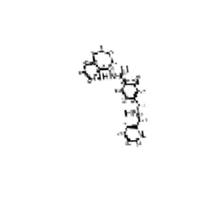 Br.O=C(NC1CCCCc2cccnc21)c1ccc(CNCc2ccccn2)cc1